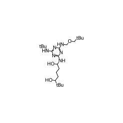 CC(C)(C)COCNc1nc(NC(O)CCCC(O)C(C)(C)C)nc(NC(C)(C)C)n1